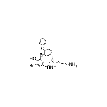 NCCCC[C@H]1CN[C@@H](Cc2cc(Br)c(O)c(Br)c2)CN1Cc1ccc(Oc2ccccc2)cc1